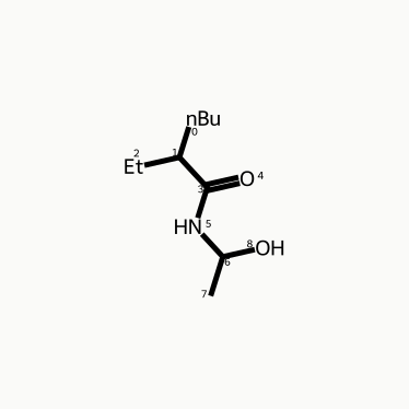 CCCCC(CC)C(=O)NC(C)O